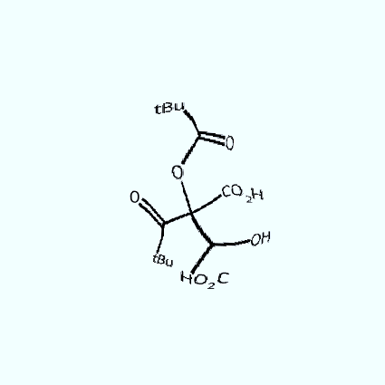 CC(C)(C)C(=O)OC(C(=O)O)(C(=O)C(C)(C)C)C(O)C(=O)O